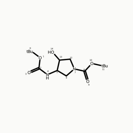 CC(C)(C)OC(=O)NC1CN(C(=O)OC(C)(C)C)CC1O